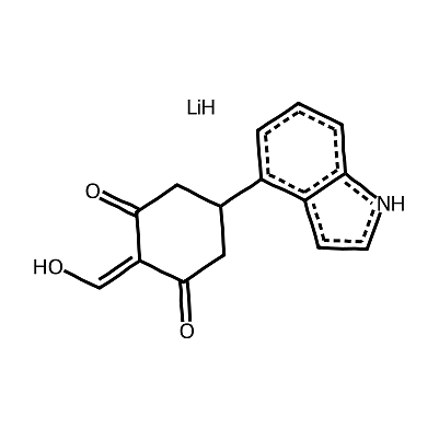 O=C1CC(c2cccc3[nH]ccc23)CC(=O)C1=CO.[LiH]